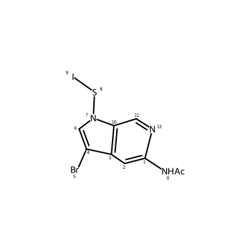 CC(=O)Nc1cc2c(Br)cn(SI)c2cn1